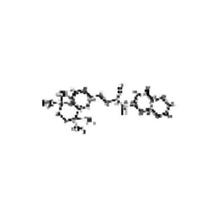 CC1(C)CCC(C)(C)c2cc(C=CC(=O)Nc3cnc4ccccc4c3)ccc21